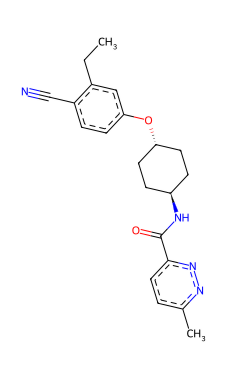 CCc1cc(O[C@H]2CC[C@H](NC(=O)c3ccc(C)nn3)CC2)ccc1C#N